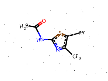 BC(=O)Nc1nc(C(F)(F)F)c(C(C)C)s1